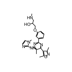 CNCC(O)COc1cccc(-c2nc(Nc3nccn3C)c(C)c(-c3c(C)noc3C)n2)c1